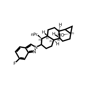 CCC[C@@H]1C(n2cc3ccc(F)cc3n2)CC[C@H]2[C@H]1CC[C@H]1C3C[C@@]3(O)CC[C@H]21